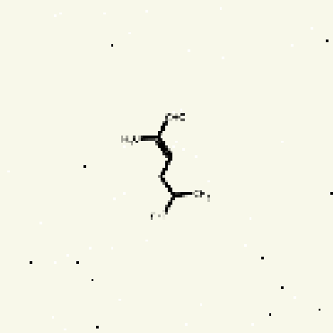 CCCC(C)CC=C(C)C=O